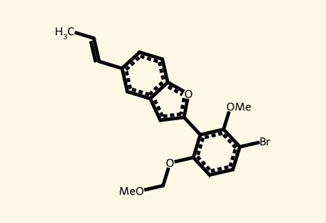 CC=Cc1ccc2oc(-c3c(OCOC)[c]cc(Br)c3OC)cc2c1